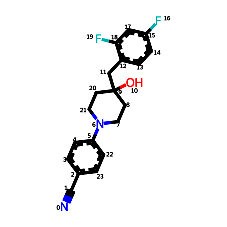 N#Cc1ccc(N2CCC(O)(Cc3ccc(F)cc3F)CC2)cc1